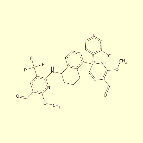 COC1=C(C=O)C=C[C@@](c2ccncc2Cl)(c2cccc3c2CCCC3Nc2nc(OC)c(C=O)cc2C(F)(F)F)N1